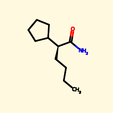 CCCC[C@H](C(N)=O)C1CCCC1